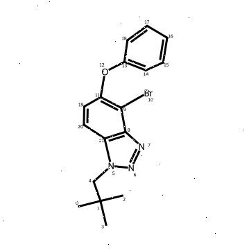 CC(C)(C)Cn1nnc2c(Br)c(Oc3ccccc3)ccc21